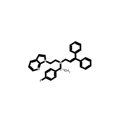 C[C@H](c1ccc(F)cc1)N(CC=C(c1ccccc1)c1ccccc1)CCn1ccc2cccnc21